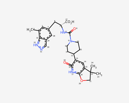 Cc1cc(C[C@@H](NC(=O)N2CCC(c3cc4c([nH]c3=O)OCC4(C)C)CC2)C(=O)O)cc2cn[nH]c12